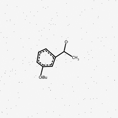 CC(C)COc1cccc(C(C)[O])c1